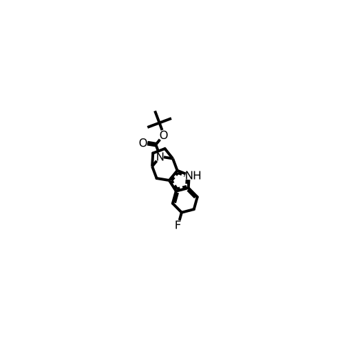 CC(C)(C)OC(=O)N1C2CCC1c1[nH]c3c(c1C2)=CC(F)CC=3